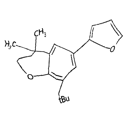 CC(C)(C)c1cc(-c2ccco2)cc2c1OCC2(C)C